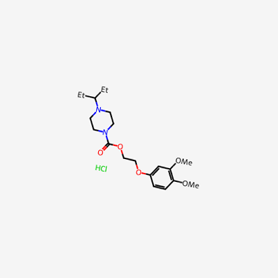 CCC(CC)N1CCN(C(=O)OCCOc2ccc(OC)c(OC)c2)CC1.Cl